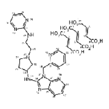 O=C(O)C=CC(=O)O.O=C(O)C=CC(=O)O.O=C(O)C=CC(=O)O.c1ccc(Cn2c(NC3CCN(CCNc4ncccn4)C3)nc3cccnc32)nc1